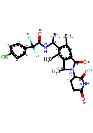 Bc1cc2c(c(B)c1C(B)NC(=O)C(F)(F)c1ccc(Cl)cc1)C(B)N(C1CCC(=O)NC1=O)C2=O